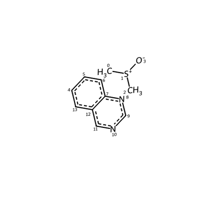 C[S+](C)[O-].c1ccc2ncncc2c1